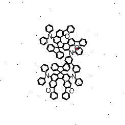 c1ccc(N(c2ccccc2)c2cc3c(c4cc5c(cc24)oc2ccccc25)-c2c(cc(N(c4ccccc4)c4cccc(-c5cccc(N(c6ccccc6)c6cc7c(c8ccc9c%10ccccc%10oc9c68)-c6c(cc(N(c8ccccc8)c8ccccc8)c8ccc9c%10ccccc%10oc9c68)C76c7ccccc7-c7ccccc76)c5)c4)c4cc5oc6ccccc6c5cc24)C32c3ccccc3-c3ccccc32)cc1